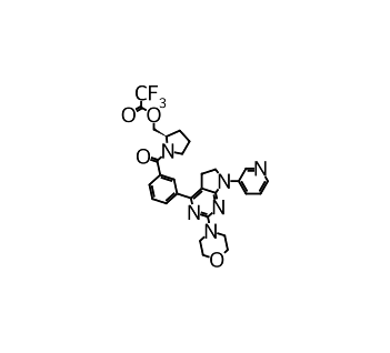 O=C(c1cccc(-c2nc(N3CCOCC3)nc3c2CCN3c2cccnc2)c1)N1CCC[C@@H]1COC(=O)C(F)(F)F